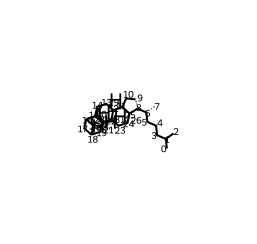 CC(C)CCC[C@@H](C)[C@H]1CC[C@H]2[C@@H]3CC=C4C5CC(C[C@]4(C)[C@H]3CC[C@]12C)[C@@H]5O